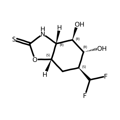 O[C@H]1[C@H](O)[C@@H](C(F)F)C[C@@H]2OC(=S)N[C@H]12